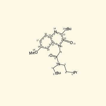 [CH2]C(C)(C)CN(CCC(C)C)C(=O)Cn1c(=O)c(C(C)(C)C)nc2ccc(OC)cc21